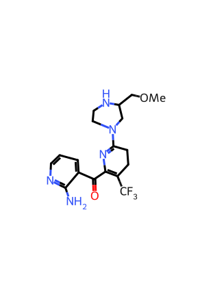 COCC1CN(C2=NC(C(=O)c3cccnc3N)=C(C(F)(F)F)CC2)CCN1